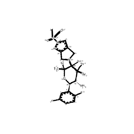 [2H]C1([2H])[C@H](N)[C@@H](c2cc(F)ccc2F)OC([2H])(C(F)(F)F)C1([2H])N1Cc2cn(S(C)(=O)=O)nc2C1